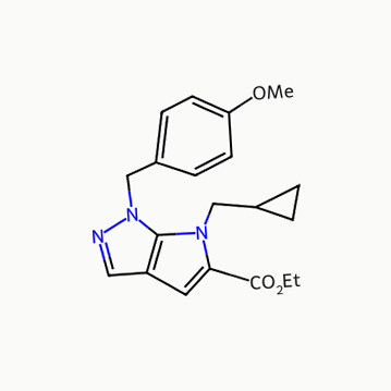 CCOC(=O)c1cc2cnn(Cc3ccc(OC)cc3)c2n1CC1CC1